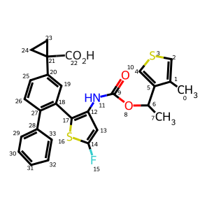 Cc1cscc1C(C)OC(=O)Nc1cc(F)sc1-c1cc(C2(C(=O)O)CC2)ccc1-c1ccccc1